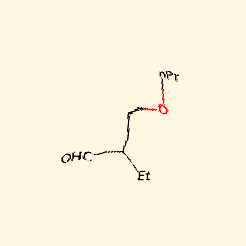 CCCOCC(C=O)CC